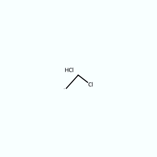 Cl.[CH2]CCl